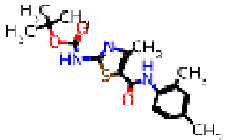 Cc1ccc(NC(=O)c2sc(NC(=O)OC(C)(C)C)nc2C)c(C)c1